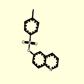 Cc1ccc(S(=O)(=O)Oc2ccc3ncccc3c2)cc1